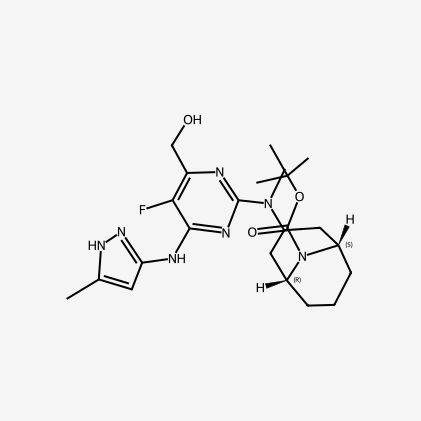 Cc1cc(Nc2nc(N(C)C3C[C@H]4CCC[C@@H](C3)N4C(=O)OC(C)(C)C)nc(CO)c2F)n[nH]1